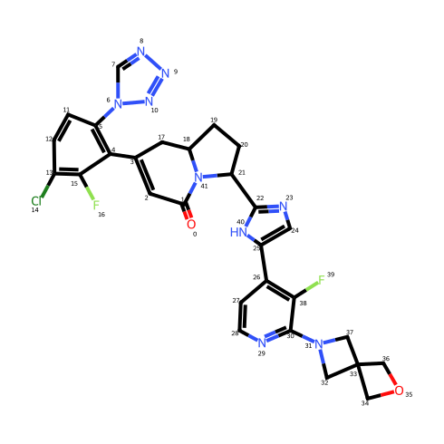 O=C1C=C(c2c(-n3cnnn3)ccc(Cl)c2F)CC2CCC(c3ncc(-c4ccnc(N5CC6(COC6)C5)c4F)[nH]3)N12